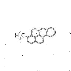 Cc1ccc2ccc3c4ccccc4cc4ccc1c2c43